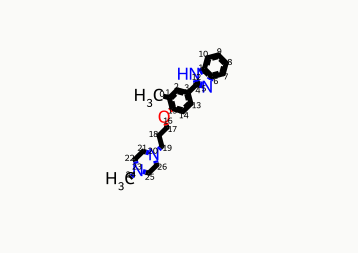 Cc1cc(-c2nc3ccccc3[nH]2)ccc1OCCCN1CCN(C)CC1